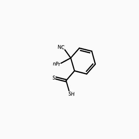 CCCC1(C#N)C=CC=CC1C(=S)S